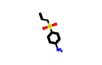 C=CCS(=O)(=O)c1ccc(N)cc1